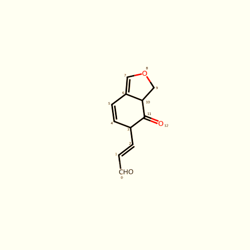 O=C/C=C/C1C=CC2=COCC2C1=O